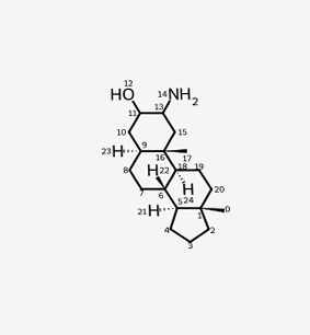 C[C@@]12CCC[C@H]1[C@@H]1CC[C@H]3CC(O)C(N)C[C@]3(C)[C@H]1CC2